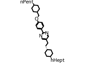 CCCCCCC[C@H]1CC[C@H](CCc2cnc(-c3ccc(OCC4CCC(CCCCC)CC4)cc3)nc2)CC1